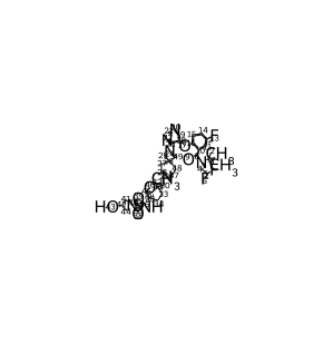 CC(C)N(CC(F)F)C(=O)c1cc(F)ccc1Oc1cncnc1N1CC2(CCN(C[C@@]3(C)CC[C@@H](NS(=O)(=O)N4CC(O)C4)CO3)CC2)C1